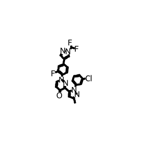 Cc1cc(-c2nn(-c3ccc(-c4cnn(C(F)F)c4)cc3F)ccc2=O)n(-c2cccc(Cl)c2)n1